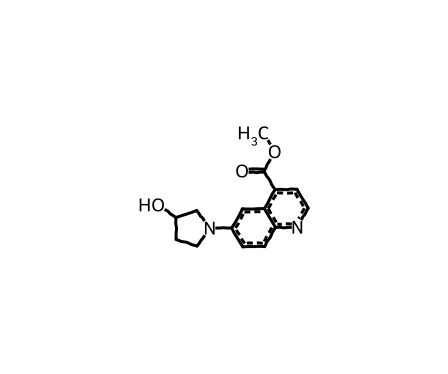 COC(=O)c1ccnc2ccc(N3CCC(O)C3)cc12